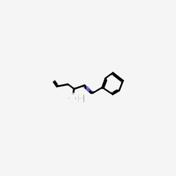 C=CCC(O)/C=C/c1ccccc1